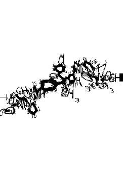 COC(=O)N[C@H](C(=O)N1CCC[C@H]1c1ncc(-c2ccc3c(c2)OC(c2ccc(Cl)cc2)c2c-3n(C)c3ccc(-c4cnc([C@@H]5CCCN5C(=O)[C@@H](NC(=O)OC)C(C)C)[nH]4)cc23)[nH]1)C(C)C